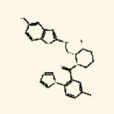 Cc1ccc(-n2ccnc2)c(C(=O)N2CCC[C@@H](C)[C@H]2CNc2nc3cc(Cl)ccc3o2)c1